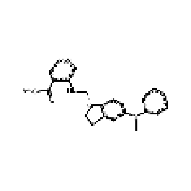 COC(=O)c1ccncc1NC[C@H]1CCc2cc(N(C)c3ccccc3)ccc21